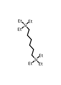 CC[Si](CC)(CC)CCCCCC[Si](CC)(CC)CC